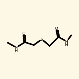 CNC(=O)CSCC(=O)NC